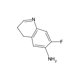 Nc1cc2c(cc1F)N=CCC2